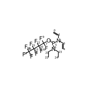 C=CN(C=C)P(OC(F)(F)C(F)(F)C(F)(F)C(F)(F)F)N(CC)CC